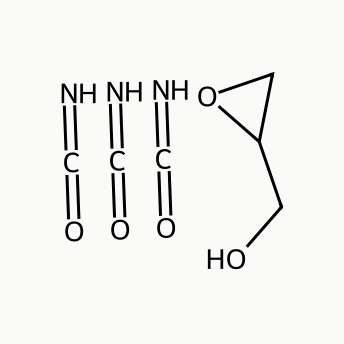 N=C=O.N=C=O.N=C=O.OCC1CO1